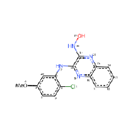 COc1ccc(Cl)c(Nc2nc3ccccc3nc2NO)c1